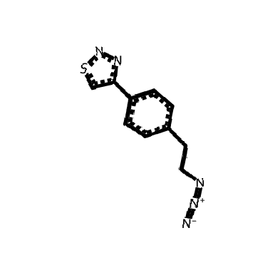 [N-]=[N+]=NCCc1ccc(-c2csnn2)cc1